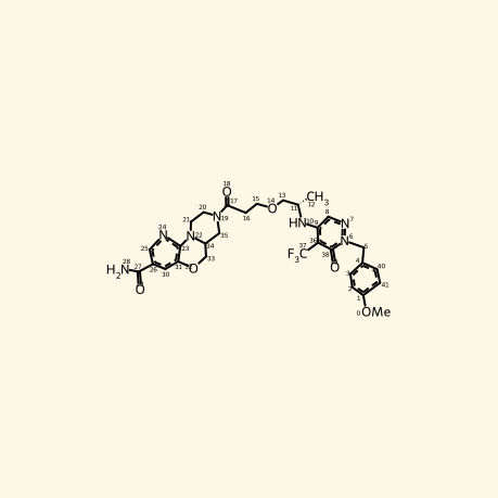 COc1ccc(Cn2ncc(N[C@@H](C)COCCC(=O)N3CCN4c5ncc(C(N)=O)cc5OCC4C3)c(C(F)(F)F)c2=O)cc1